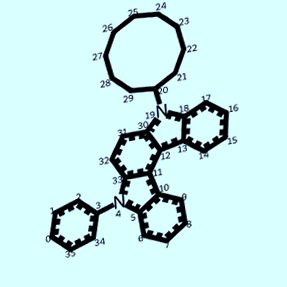 c1ccc(-n2c3ccccc3c3c4c5ccccc5n(C5CCCCCCCCC5)c4ccc32)cc1